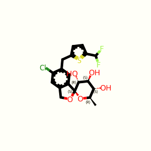 C[C@H]1O[C@]2(OCc3cc(Cl)c(Cc4ccc(C(F)F)s4)cc32)[C@H](O)[C@@H](O)[C@@H]1O